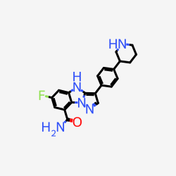 NC(=O)c1cc(F)cc2[nH]c3c(-c4ccc(C5CCCNC5)cc4)cnn3c12